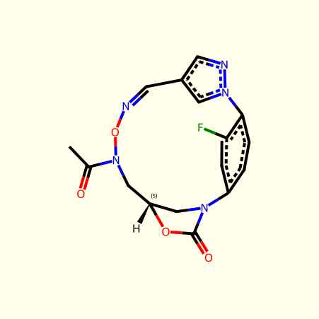 CC(=O)N1C[C@@H]2CN(C(=O)O2)c2ccc(c(F)c2)-n2cc(cn2)C=NO1